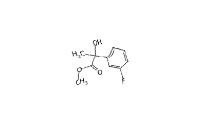 COC(=O)C(C)(O)c1cccc(F)c1